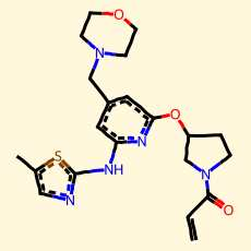 C=CC(=O)N1CCC(Oc2cc(CN3CCOCC3)cc(Nc3ncc(C)s3)n2)C1